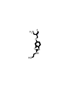 NC/C(=C\F)COc1ccc2nc(NCCO)oc2c1